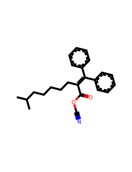 CC(C)CCCCCC(C(=O)OC#N)=C(c1ccccc1)c1ccccc1